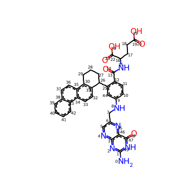 Nc1nc2ncc(CNc3ccc(C(=O)NC(CCC(=O)O)C(=O)O)c(C4CCCc5c4ccc4c5ccc5ccccc54)c3)nc2c(=O)[nH]1